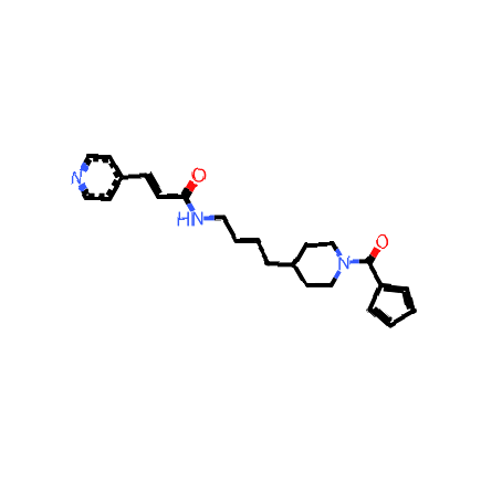 O=C(/C=C/c1ccncc1)NCCCCC1CCN(C(=O)C2=C=CC=C2)CC1